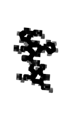 Cc1cc(C)c(CNC(=O)c2nc(N3CCCC3)nc(-c3ccnn3C)c2C)c(=O)[nH]1